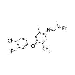 CCN(C)C=Nc1cc(C(F)(F)F)c(Oc2ccc(Cl)c(C(C)C)c2)cc1C